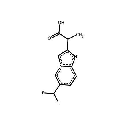 CC(C(=O)O)c1cn2cc(C(F)F)ccc2n1